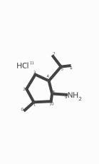 CC1CCC(C(C)C)C(N)C1.Cl